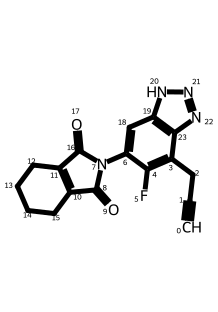 C#CCc1c(F)c(N2C(=O)C3=C(CCCC3)C2=O)cc2[nH]nnc12